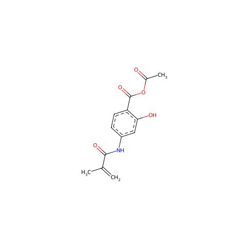 C=C(C)C(=O)Nc1ccc(C(=O)OC(C)=O)c(O)c1